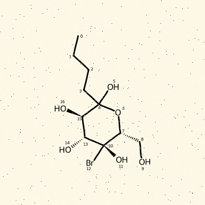 CCCCC1(O)O[C@H](CO)[C@](O)(Br)[C@H](O)[C@H]1O